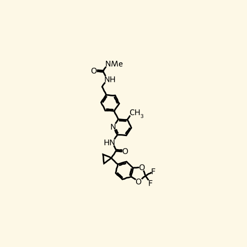 CNC(=O)NCc1ccc(-c2nc(NC(=O)C3(c4ccc5c(c4)OC(F)(F)O5)CC3)ccc2C)cc1